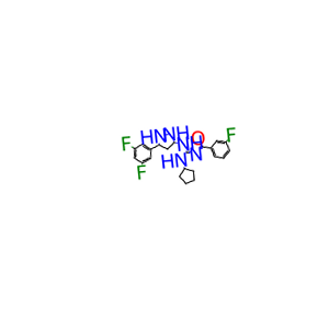 O=C(/N=C(/NC1CCCC1)NC1CC(c2cc(F)cc(F)c2)NN1)c1cccc(F)c1